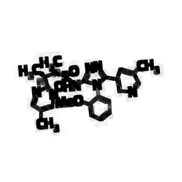 COc1ccccc1-n1c(NS(=O)(=O)[C@@H](C)[C@H](C)c2ncc(C)cn2)nnc1-c1cncc(C)c1